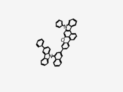 c1ccc(-c2ccc3c(c2)c2ccccc2n3-c2cc(-c3ccc4c(c3)Oc3cc5c(c6cccc-4c36)c3ccccc3n5-c3ccccc3)cc3ccccc23)cc1